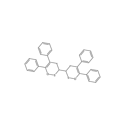 [C]1C(c2ccccc2)=C(c2ccccc2)OSC1C1[C]C(c2ccccc2)=C(c2ccccc2)OS1